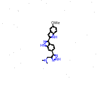 COc1ccc2[nH]c(-c3n[nH]c4cc(-c5n[nH]nc5CN(C)C)ccc34)cc2c1